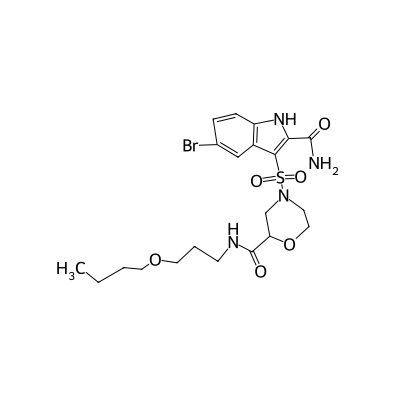 CCCCOCCCNC(=O)C1CN(S(=O)(=O)c2c(C(N)=O)[nH]c3ccc(Br)cc23)CCO1